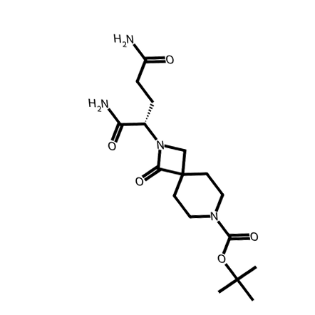 CC(C)(C)OC(=O)N1CCC2(CC1)CN([C@@H](CCC(N)=O)C(N)=O)C2=O